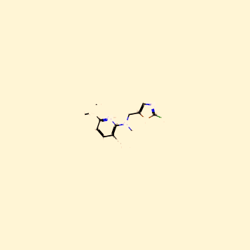 CN(Cc1cnc(Br)s1)c1n[c]([SnH]([CH3])[CH3])ccc1[N+](=O)[O-]